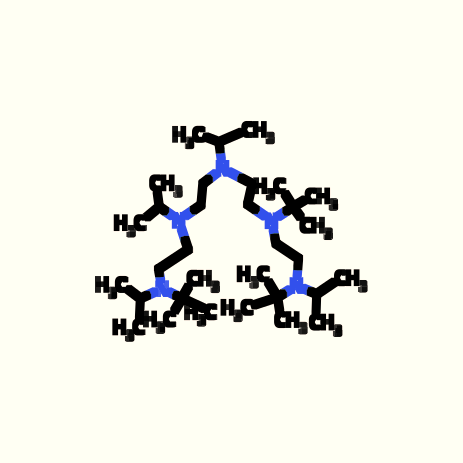 CC(C)N(CCN(CCN(C(C)C)C(C)(C)C)C(C)C)CCN(CCN(C(C)C)C(C)(C)C)C(C)(C)C